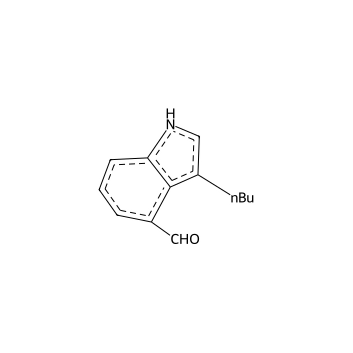 [CH2]CCCc1c[nH]c2cccc(C=O)c12